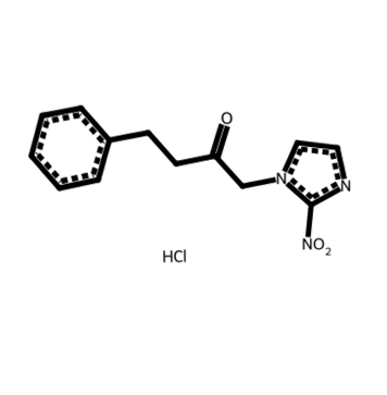 Cl.O=C(CCc1ccccc1)Cn1ccnc1[N+](=O)[O-]